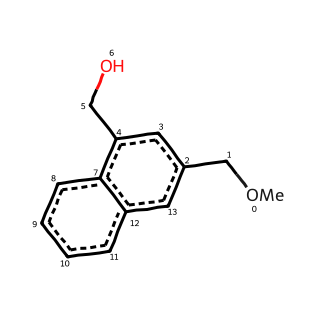 COCc1cc(CO)c2ccccc2c1